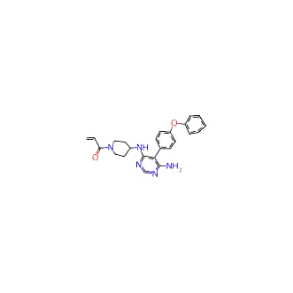 C=CC(=O)N1CCC(Nc2ncnc(N)c2-c2ccc(Oc3ccccc3)cc2)CC1